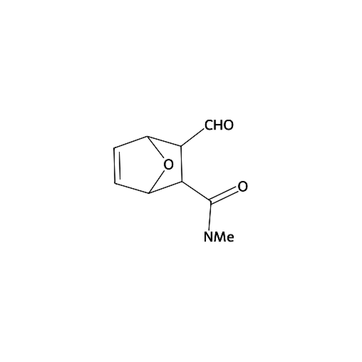 CNC(=O)C1C2C=CC(O2)C1C=O